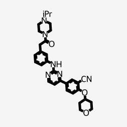 CC(C)N1CCN(C(=O)Cc2cccc(Nc3nccc(-c4ccc(OC5CCOCC5)c(C#N)c4)n3)c2)CC1